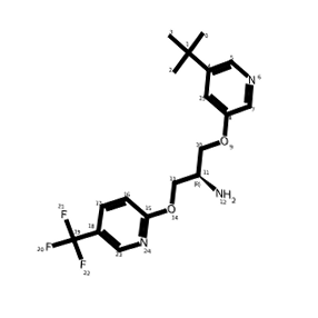 CC(C)(C)c1cncc(OC[C@@H](N)COc2ccc(C(F)(F)F)cn2)c1